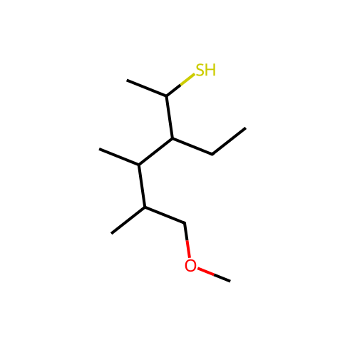 CCC(C(C)S)C(C)C(C)COC